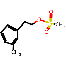 Cc1cccc(CCOS(C)(=O)=O)c1